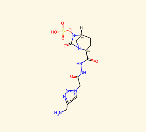 NCc1cn(CC(=O)NNC(=O)[C@@H]2CC[C@@H]3CN2C(=O)N3OS(=O)(=O)O)nn1